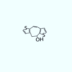 OC1Cc2ccsc2/C=C\c2ccsc21